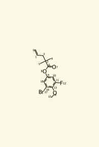 C=CCC(C)(C)C(=O)Oc1cc(F)c(OC)c(Br)c1